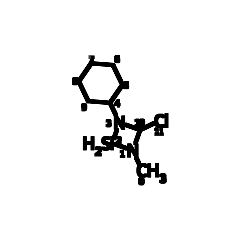 CN1[SiH2]N(C2CCCCC2)C1Cl